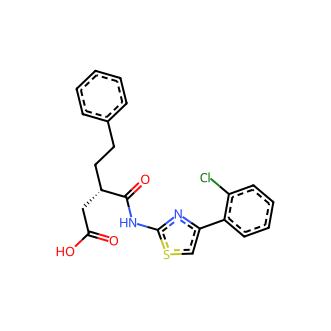 O=C(O)C[C@H](CCc1ccccc1)C(=O)Nc1nc(-c2ccccc2Cl)cs1